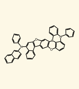 c1ccc(N2c3ccccc3B3c4cc5oc6cc(N(c7ccccc7)c7ccc8ccccc8c7)c7ccccc7c6c5cc4Oc4cccc2c43)cc1